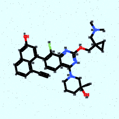 C#Cc1cccc2cc(O)cc(-c3ccc4c(N5CCC[C@@](C)(O)C5)nc(OCC5(CN(C)C)CC5)nc4c3F)c12